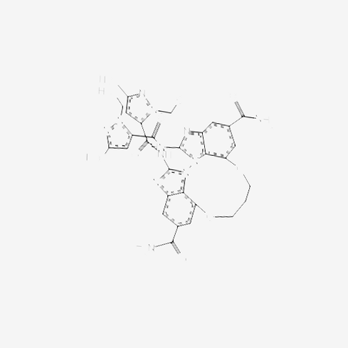 CCn1nc(C)cc1C(=O)Nc1nc2cc(C(N)=O)cc3c2n1-n1c(NC(=O)c2cc(C)nn2CC)nc2cc(C(N)=O)cc(c21)OCCCO3